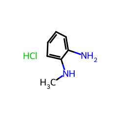 CNc1ccccc1N.Cl